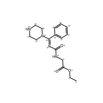 CCOC(=O)CNC(=O)/N=C(\c1ccccc1)N1CCNCC1